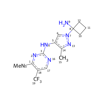 CNc1nc(Nc2cn(C3(N)CCC3)nc2C)ncc1C(F)(F)F